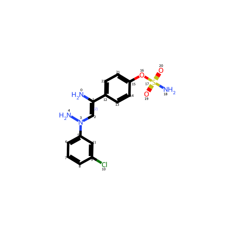 N/C(=C\N(N)c1cccc(Cl)c1)c1ccc(OS(N)(=O)=O)cc1